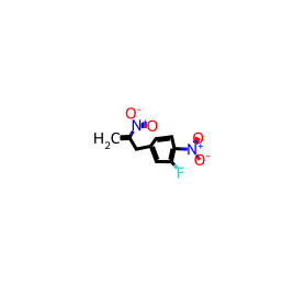 C=C(Cc1ccc([N+](=O)[O-])c(F)c1)[N+](=O)[O-]